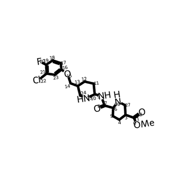 COC(=O)C1CCC(C(=O)NC2CCC(COc3ccc(F)c(Cl)c3)CN2)NC1